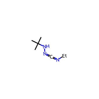 CCN=C=NNC(C)(C)C